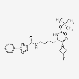 CC(C)(C)OC(=O)N[C@@H](CCCCNC(=O)c1coc(-c2ccccc2)n1)C(=O)N1CC(F)C1